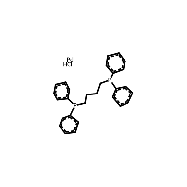 Cl.[Pd].c1ccc(P(CCCCP(c2ccccc2)c2ccccc2)c2ccccc2)cc1